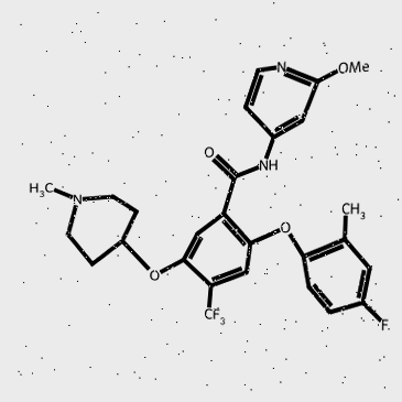 COc1cc(NC(=O)c2cc(OC3CCN(C)CC3)c(C(F)(F)F)cc2Oc2ccc(F)cc2C)ccn1